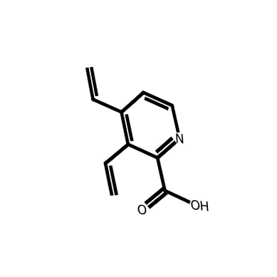 C=Cc1ccnc(C(=O)O)c1C=C